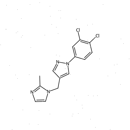 Cc1nccn1Cc1cnn(-c2ccc(Cl)c(Cl)c2)c1